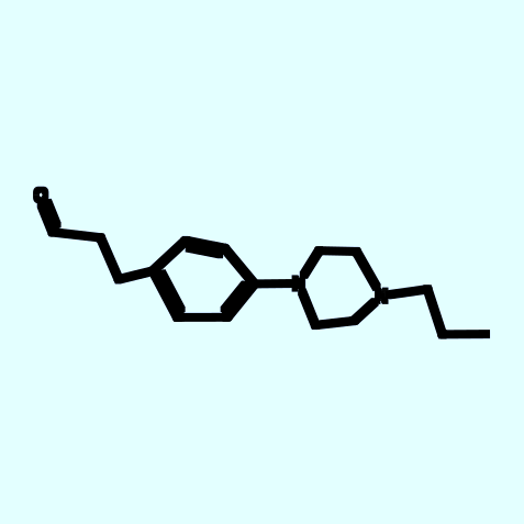 CCCN1CCN(c2ccc(CCC=O)cc2)CC1